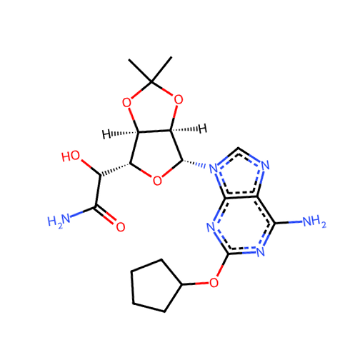 CC1(C)O[C@@H]2[C@H](O1)[C@@H](C(O)C(N)=O)O[C@H]2n1cnc2c(N)nc(OC3CCCC3)nc21